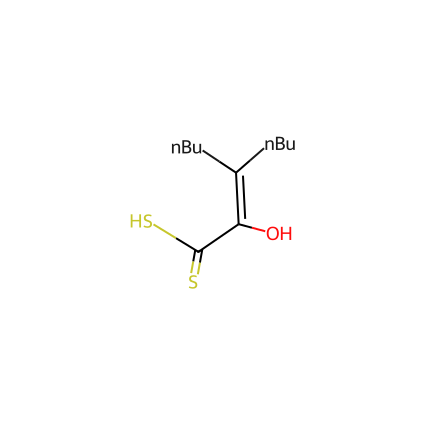 CCCCC(CCCC)=C(O)C(=S)S